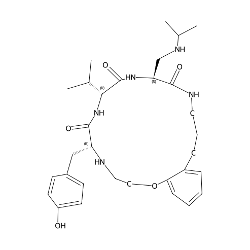 CC(C)NC[C@@H]1NC(=O)[C@@H](C(C)C)NC(=O)[C@@H](Cc2ccc(O)cc2)NCCOc2ccccc2CCCNC1=O